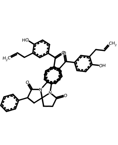 C=CCc1cc(C(=O)c2ccc(N3C(=O)CCC34CC(c3ccccc3)C(=O)N4c3ccc(C(=O)c4ccc(O)c(CC=C)c4)cc3)cc2)ccc1O